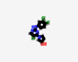 OC1CCN(c2nc(Nc3ccc(F)c(Cl)c3)ncc2Br)C1